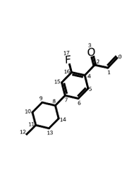 C=CC(=O)c1ccc(C2CCC(C)CC2)cc1F